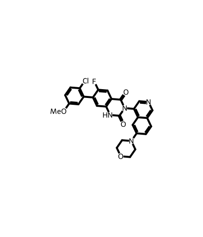 COc1ccc(Cl)c(-c2cc3[nH]c(=O)n(-c4cncc5ccc(N6CCOCC6)cc45)c(=O)c3cc2F)c1